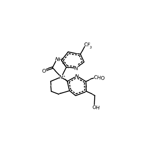 NC(=O)[N+]1(c2ccc(C(F)(F)F)cn2)CCCc2cc(CO)c(C=O)nc21